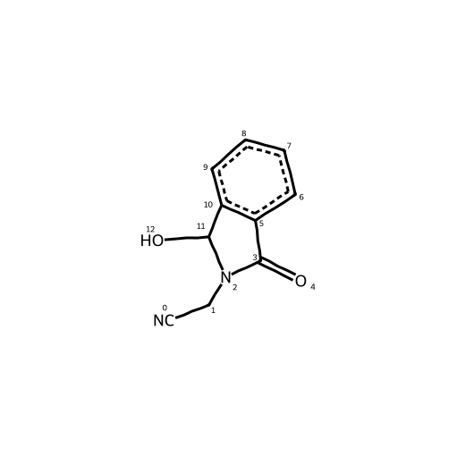 N#CCN1C(=O)c2ccccc2C1O